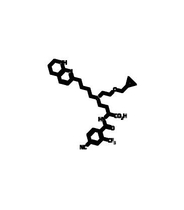 N#Cc1ccc(C(=O)NC(CCN(CCCCc2ccc3c(n2)NCCC3)CCOCC2CC2)C(=O)O)c(C(F)(F)F)c1